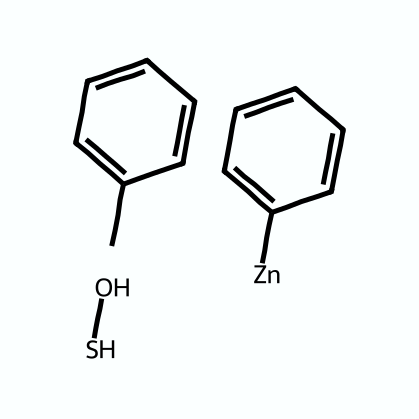 Cc1ccccc1.OS.[Zn][c]1ccccc1